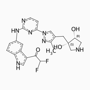 Cc1nn(-c2ccnc(Nc3ccc4[nH]cc(C(=O)C(F)F)c4c3)n2)cc1C[C@]1(O)CNC[C@H]1O